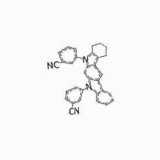 N#Cc1cccc(-n2c3c(c4cc5c6ccccc6n(-c6cccc(C#N)c6)c5cc42)CCCC3)c1